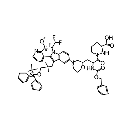 CO[C@@H](C)c1ncccc1-c1c(CC(C)(C)CO[Si](c2ccccc2)(c2ccccc2)C(C)(C)C)c2cc(N3CCOC(CC(NC(=O)OCc4ccccc4)C(=O)N4CCCC(C(=O)O)N4)C3)ccc2n1C(F)C(F)F